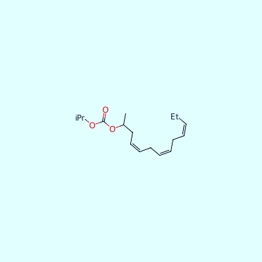 CC/C=C\C/C=C\C/C=C\CC(C)OC(=O)OC(C)C